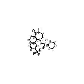 O=C1NCCN(CC(F)(F)C2CCOCC2)C2=C1CCc1ccc(C(F)(F)F)cc12